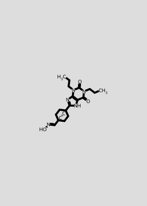 CCCn1c(=O)c2[nH]c(C34CCC(C=NO)(CC3)CC4)nc2n(CCC)c1=O